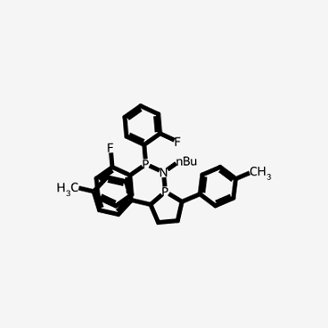 CCCCN(P(c1ccccc1F)c1ccccc1F)P1C(c2ccc(C)cc2)CCC1c1ccc(C)cc1